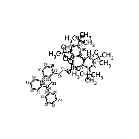 CC(C)(C)c1cc(C(C)(C)C)c2op(OCCc3ccccc3CP(c3ccccc3)c3ccccc3)oc3c(C(C)(C)C)cc(C(C)(C)C)cc3c2c1